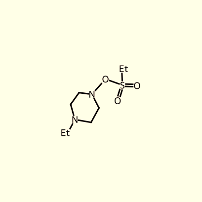 CCN1CCN(OS(=O)(=O)CC)CC1